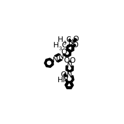 Cc1cc(CC(OC(=O)N2CCC(N3CCc4ccccc4NC3=O)CC2)C(=O)N2CCN(C3CCCCCC3)CC2)cc2oc(=O)n(C)c12